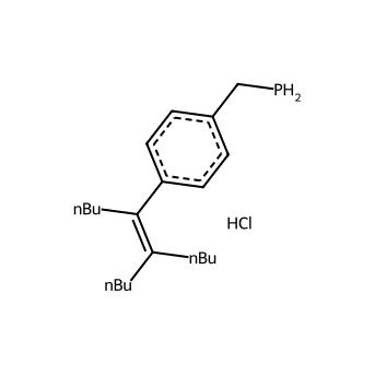 CCCCC(CCCC)=C(CCCC)c1ccc(CP)cc1.Cl